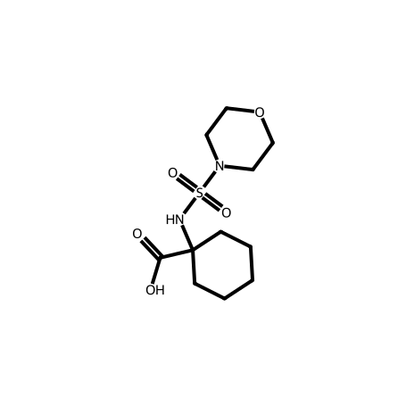 O=C(O)C1(NS(=O)(=O)N2CCOCC2)CCCCC1